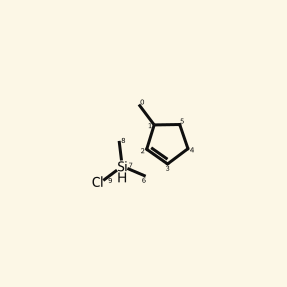 CC1C=CCC1.C[SiH](C)Cl